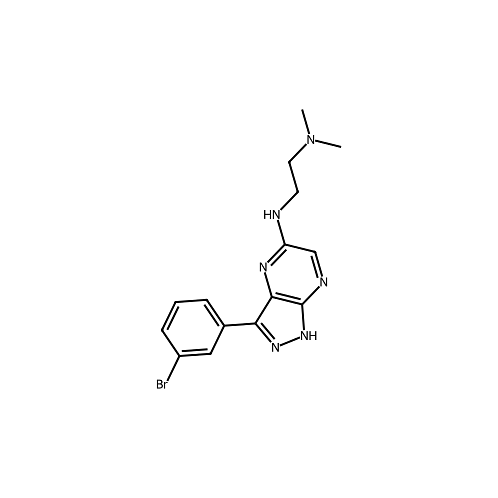 CN(C)CCNc1cnc2[nH]nc(-c3cccc(Br)c3)c2n1